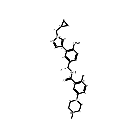 COc1ccc([C@@H](C)NC(=O)c2cc(N3CCN(C)CC3)ccc2C)cc1-c1cnn(CC2CC2)c1